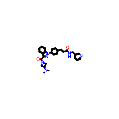 CN(C)C1CN(C(=O)c2nn(-c3ccc(C=CC(=O)NCc4cccnc4)cc3)c3ccccc23)C1